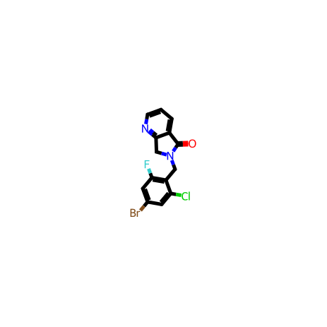 O=C1c2cccnc2CN1Cc1c(F)cc(Br)cc1Cl